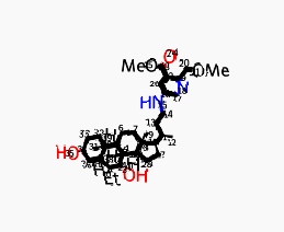 CC[C@H]1[C@@H](O)[C@@H]2[C@H](CC[C@]3(C)[C@@H]([C@H](C)CCNc4cnc(COC)c(C(=O)OC)c4)CC[C@@H]23)[C@@]2(C)CC[C@@H](O)C[C@@H]12